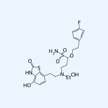 CCN(CCc1ccc(O)c2[nH]c(=O)sc12)CCC(OCCc1ccc(F)cc1)S(N)(=O)=O.Cl